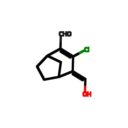 O=CC1=C(Cl)/C(=C/O)C2CCC1C2